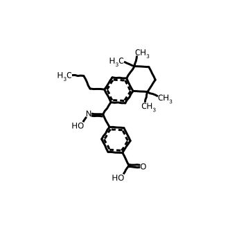 CCCc1cc2c(cc1C(=NO)c1ccc(C(=O)O)cc1)C(C)(C)CCC2(C)C